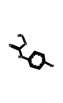 CCCCOC(=O)Nc1ccc(C(C)=O)cc1